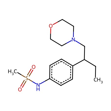 CCC(CN1CCOCC1)c1ccc(NS(C)(=O)=O)cc1